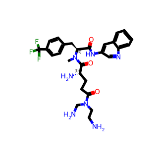 CN(C(=O)[C@@H](N)CCC(=O)N(CN)CCN)[C@@H](Cc1ccc(C(F)(F)F)cc1)C(=O)Nc1cnc2ccccc2c1